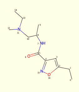 CCc1cc(C(=O)NC(C)CN(C)CC)no1